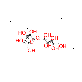 OC[C@H](O)[C@@H](O)[C@H](O)[C@H](O)CO[C@@H]1O[C@H](CO)[C@H](O)[C@H](O)[C@H]1O